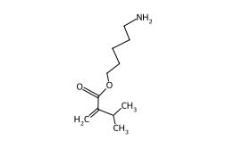 C=C(C(=O)OCCCCCN)C(C)C